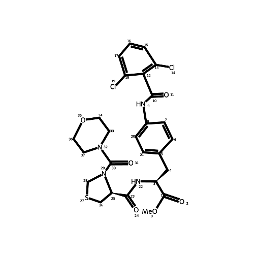 COC(=O)[C@H](Cc1ccc(NC(=O)c2c(Cl)cccc2Cl)cc1)NC(=O)[C@H]1CSCN1C(=O)N1CCOCC1